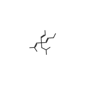 CC=CC(C=CCC)(C=C(C)C)CC(C)C